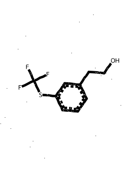 O[CH]Cc1cccc(SC(F)(F)F)c1